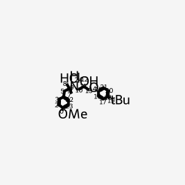 COc1ccc(CC(C)(C)NCC(O)COc2ccc(C(C)(C)C)cc2)cc1.Cl